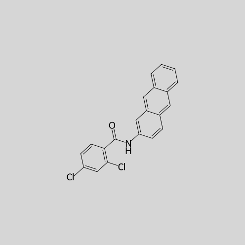 O=C(Nc1ccc2cc3ccccc3cc2c1)c1ccc(Cl)cc1Cl